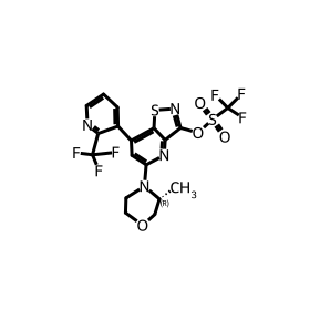 C[C@@H]1COCCN1c1cc(-c2cccnc2C(F)(F)F)c2snc(OS(=O)(=O)C(F)(F)F)c2n1